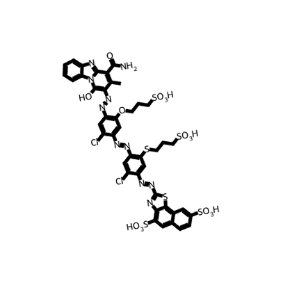 Cc1c(N=Nc2cc(Cl)c(N=Nc3cc(Cl)c(N=Nc4nc5c(S(=O)(=O)O)cc6ccc(S(=O)(=O)O)cc6c5s4)cc3SCCCS(=O)(=O)O)cc2OCCCS(=O)(=O)O)c(O)n2c(nc3ccccc32)c1C(N)=O